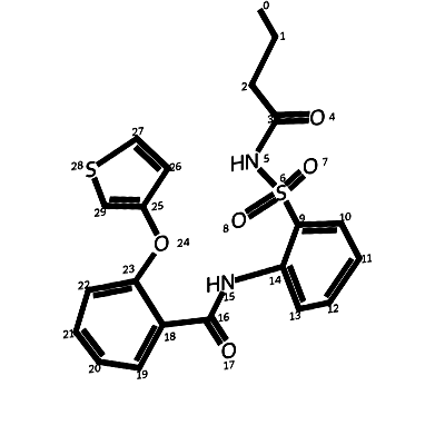 CCCC(=O)NS(=O)(=O)c1ccccc1NC(=O)c1ccccc1Oc1ccsc1